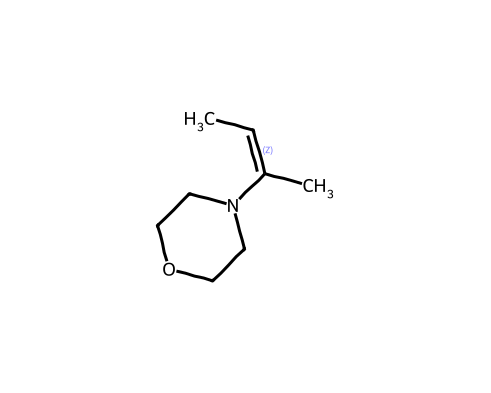 C/C=C(/C)N1CCOCC1